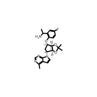 Cc1ncnc2c1ccn2[C@@H]1C[C@H](Oc2ccc(F)cc2C(C)N)[C@H]2OC(C)(C)O[C@H]21